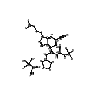 CN(C)CCCn1cnc2c(N(CC3CCCC3)NC(=O)OC(C)(C)C)nc(C#N)nc21.O=C(O)C(F)(F)F